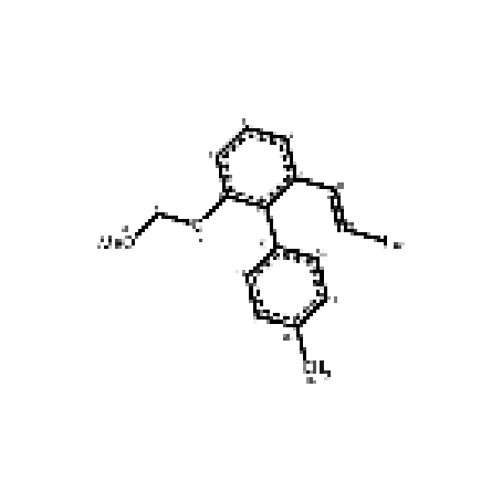 COCOc1cccc(C=CI)c1-c1ccc(C)cc1